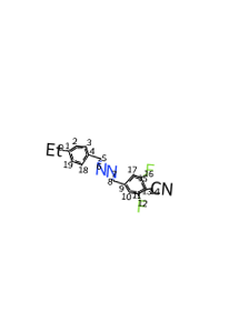 CCc1ccc(C=NN=Cc2cc(F)c(C#N)c(F)c2)cc1